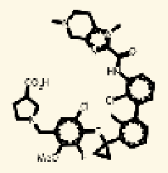 COc1c(CN2CCC(C(=O)O)C2)cc(Cl)c(OC2(c3cccc(-c4cccc(NC(=O)c5nc6c(n5C)CCN(C)C6)c4Cl)c3C)CC2)c1F